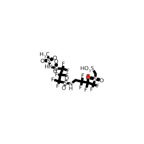 CS(=O)(=O)NS(=O)(=O)C(F)(F)C(F)(F)C(F)(F)S(=O)(=O)NCC(F)(F)C(F)(F)C(F)(F)S(=O)(=O)CS(=O)(=O)O